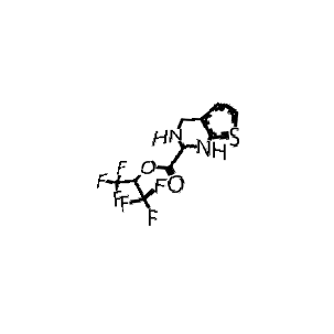 O=C(OC(C(F)(F)F)C(F)(F)F)C1NCc2ccsc2N1